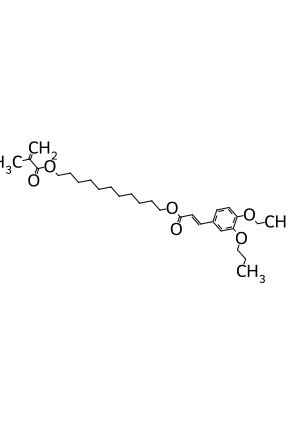 C=C(C)C(=O)OCCCCCCCCCCCOC(=O)C=Cc1ccc(OCC)c(OCCC)c1